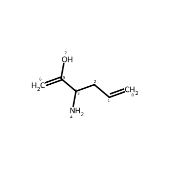 C=CC[C](N)C(=C)O